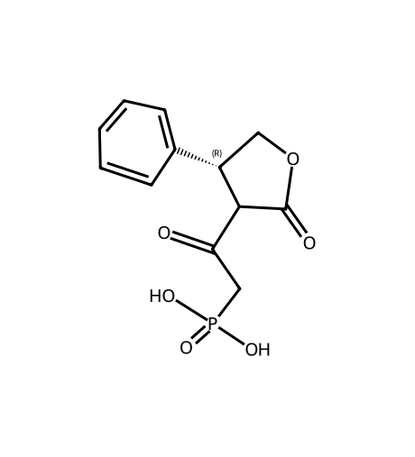 O=C(CP(=O)(O)O)C1C(=O)OC[C@H]1c1ccccc1